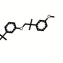 COc1cccc(C(C)(C)COc2cccc(C(C)(C)C)c2)c1